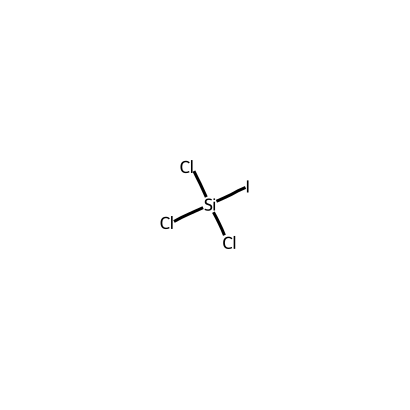 Cl[Si](Cl)(Cl)I